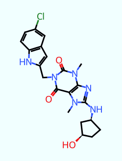 Cn1c(N[C@H]2CC[C@@H](O)C2)nc2c1c(=O)n(Cc1cc3cc(Cl)ccc3[nH]1)c(=O)n2C